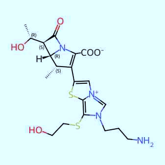 C[C@@H](O)[C@H]1C(=O)N2C(C(=O)[O-])=C(c3c[n+]4cn(CCCN)c(SCCO)c4s3)[C@H](C)[C@H]12